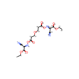 CCOC(=O)/C(C#N)=N/OC(=O)CCOCCC(=O)O/N=C(\C#N)C(=O)OCC